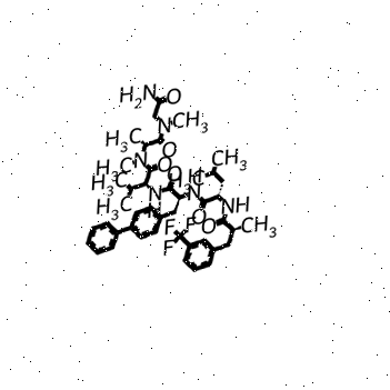 CC(C)C[C@H](NC(=O)[C@@H](C)Cc1cccc(C(F)(F)F)c1)C(=O)N[C@@H](Cc1ccc(-c2ccccc2)cc1)C(=O)N[C@H](C(=O)N(C)[C@@H](C)C(=O)N(C)CC(N)=O)C(C)C